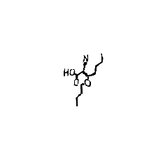 CCCCOC(CCCC)=C(C#N)C(=O)O